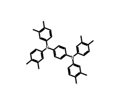 Cc1ccc(N(c2ccc(N(c3ccc(C)c(C)c3)c3ccc(C)c(C)c3)cc2)c2ccc(C)c(C)c2)cc1C